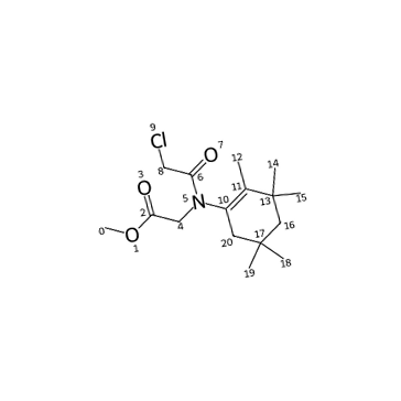 COC(=O)CN(C(=O)CCl)C1=C(C)C(C)(C)CC(C)(C)C1